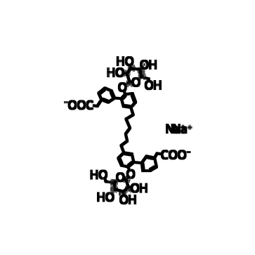 O=C([O-])Cc1cccc(-c2cc(CCCCCCc3ccc(O[C@H]4O[C@H](CO)[C@@H](O)[C@H](O)[C@@H]4O)c(-c4cccc(CC(=O)[O-])c4)c3)ccc2O[C@H]2O[C@H](CO)[C@@H](O)[C@H](O)[C@@H]2O)c1.[Na+].[Na+]